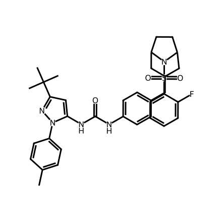 Cc1ccc(-n2nc(C(C)(C)C)cc2NC(=O)Nc2ccc(CC3CC4CCC(C3)N4S(=O)(=O)c3ccccc3F)cc2)cc1